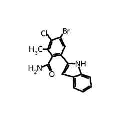 Cc1c(Cl)c(Br)cc(-c2cc3ccccc3[nH]2)c1C(N)=O